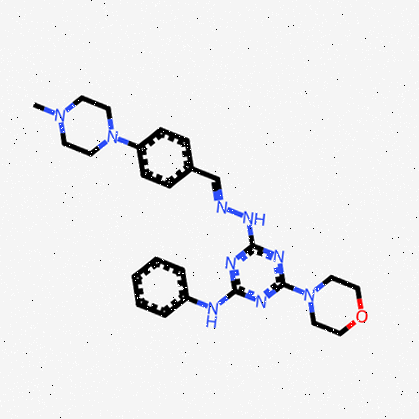 CN1CCN(c2ccc(/C=N/Nc3nc(Nc4ccccc4)nc(N4CCOCC4)n3)cc2)CC1